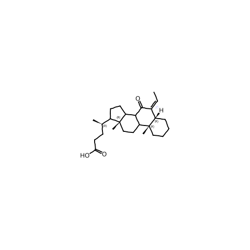 C/C=C1\C(=O)C2C3CCC([C@H](C)CCC(=O)O)[C@@]3(C)CCC2[C@@]2(C)CCCC[C@@H]12